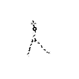 Cc1nnc(-c2ccc(CNC(=O)CN(CCOCCOCCOCCN)CC(=O)NCCOCCOCCN=[N+]=[N-])cc2)nn1